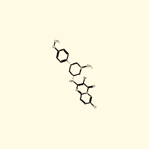 COc1ccc([C@H]2C[C@@H](Nc3nc4ccc(Cl)cn4c(=O)c3Br)CN(C)C2)cc1